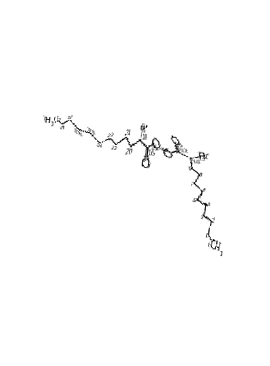 CCCCCCCCCCC(Br)C(=O)OOC(=O)C(Br)CCCCCCCCCC